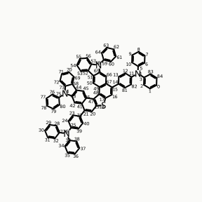 c1ccc(N(c2ccccc2)c2ccc(-c3cc4sc5cc(-c6ccc(N(c7ccccc7)c7ccccc7)cc6)c6cc7c(cc6c5c4c4cc5c6ccccc6n(-c6ccccc6)c5cc34)c3ccccc3n7-c3ccccc3)cc2)cc1